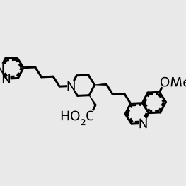 COc1ccc2nccc(CCC[C@@H]3CCN(CCCCc4ccnnc4)C[C@@H]3CC(=O)O)c2c1